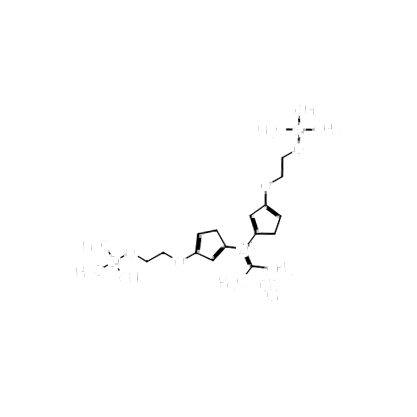 C[C](C)=[Zr+2]([C]1=CC(OCCO[Si](C)(C)C)=CC1)[C]1=CC(OCCO[Si](C)(C)C)=CC1.[Cl-].[Cl-]